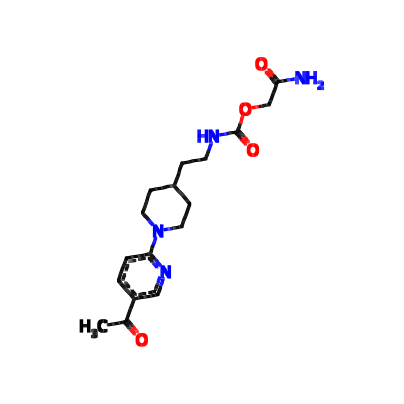 CC(=O)c1ccc(N2CCC(CCNC(=O)OCC(N)=O)CC2)nc1